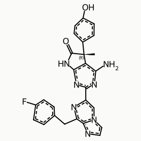 C[C@]1(c2ccc(O)cc2)C(=O)Nc2nc(-c3cn4ccnc4c(Cc4ccc(F)cc4)n3)nc(N)c21